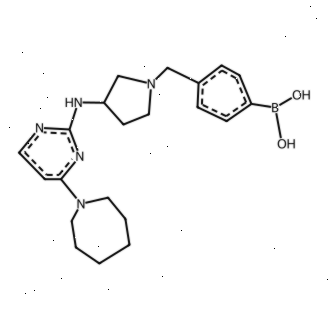 OB(O)c1ccc(CN2CCC(Nc3nccc(N4CCCCCC4)n3)C2)cc1